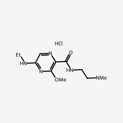 CCNc1cnc(C(=O)NCCNC)c(OC)n1.Cl